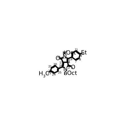 CCCCCCCCN1C(=O)C2=C(c3ccc(CC)cc3)N(CCCCCCCC)C(=O)C2=C1c1ccc(C)cc1